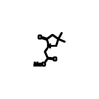 COC(=O)CN1CC(C)(C)CC1=O